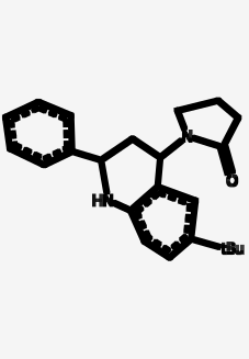 CC(C)(C)c1ccc2c(c1)C(N1CCCC1=O)CC(c1ccccc1)N2